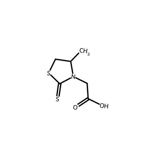 CC1CSC(=S)N1CC(=O)O